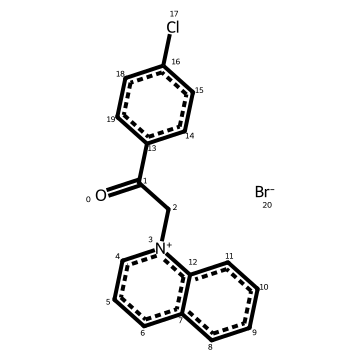 O=C(C[n+]1cccc2ccccc21)c1ccc(Cl)cc1.[Br-]